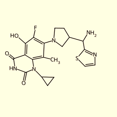 Cc1c(N2CCC(C(N)c3nccs3)C2)c(F)c(O)c2c(=O)[nH]c(=O)n(C3CC3)c12